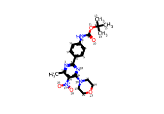 Cc1nc(-c2ccc(NC(=O)OC(C)(C)C)cc2)nc(N2CCOCC2)c1[N+](=O)[O-]